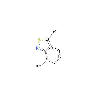 CC(C)c1snc2c(C(C)C)cccc12